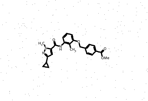 COC(=O)c1ccc(COc2cccc(NC(=O)c3cc(C4CC4)nn3C)c2C)cc1